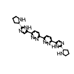 c1cc(-c2cnc([C@@H]3CCCN3)[nH]2)nnc1-c1ccc(-c2cnc([C@@H]3CCCN3)[nH]2)nn1